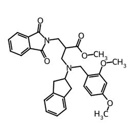 COC(=O)C(CN1C(=O)c2ccccc2C1=O)CN(Cc1ccc(OC)cc1OC)C1Cc2ccccc2C1